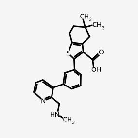 CNCc1ncccc1-c1cccc(-c2sc3c(c2C(=O)O)CC(C)(C)CC3)c1